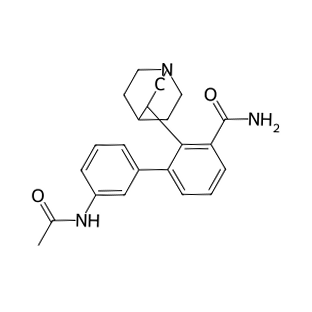 CC(=O)Nc1cccc(-c2cccc(C(N)=O)c2C2CN3CCC2CC3)c1